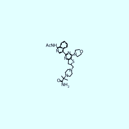 CC(=O)Nc1ncc(-c2nc3c(c(N4CCOCC4)n2)SC(CN2CCN(C(C)(C)C(N)=O)CC2)C3)c2ccccc12